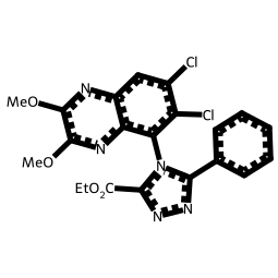 CCOC(=O)c1nnc(-c2ccccc2)n1-c1c(Cl)c(Cl)cc2nc(OC)c(OC)nc12